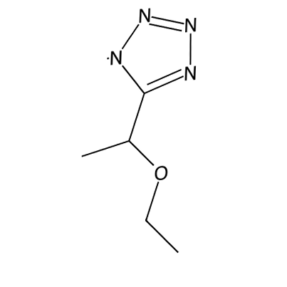 CCOC(C)C1=NN=N[N]1